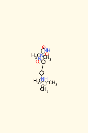 CCC1CC2CC(CC(C)(NCc3ccc(C#Cc4cccc(/N=C(/C)N(C)C5CCC(=O)NC5=O)c4C=O)cc3)C1)C2C